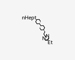 CCCCCCC[C@H]1CC[C@H]([C@H]2CC[C@H](CCc3ncc(CC)cn3)CC2)CC1